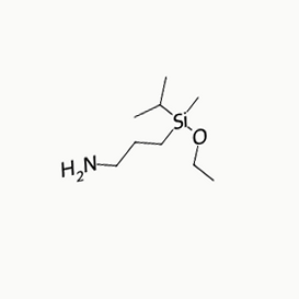 CCO[Si](C)(CCCN)C(C)C